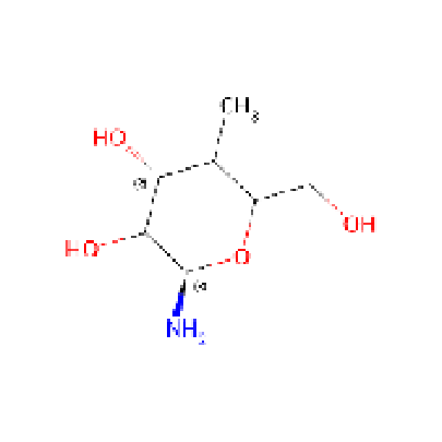 CC1C(CO)O[C@@H](N)C(O)[C@@H]1O